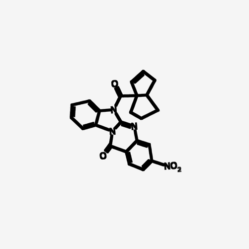 O=C(n1c2ccccc2n2c(=O)c3ccc([N+](=O)[O-])cc3nc12)C12C=CCC1CCC2